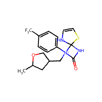 CC1CC(C[N+]2(c3ccc(C(F)(F)F)cc3)C(=O)NC23NC=CS3)CO1